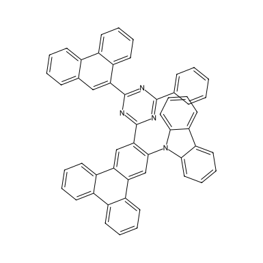 c1ccc(-c2nc(-c3cc4c5ccccc5c5ccccc5c4cc3-n3c4ccccc4c4ccccc43)nc(-c3cc4ccccc4c4ccccc34)n2)cc1